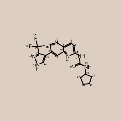 O=C(Nc1ccc2ncc(-c3c[nH]nc3C(F)(F)F)cc2n1)NC1CCCC1